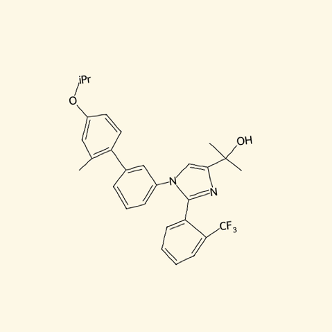 Cc1cc(OC(C)C)ccc1-c1cccc(-n2cc(C(C)(C)O)nc2-c2ccccc2C(F)(F)F)c1